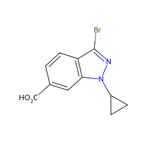 O=C(O)c1ccc2c(Br)nn(C3CC3)c2c1